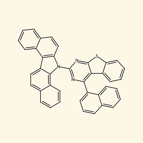 c1ccc2c(-c3nc(-n4c5ccc6ccccc6c5c5ccc6ccccc6c54)nc4sc5ccccc5c34)cccc2c1